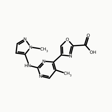 Cc1cnc(Nc2ccnn2C)nc1-c1coc(C(=O)O)n1